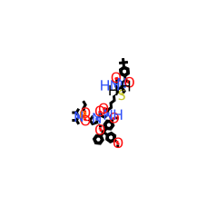 CCCOP(O[C@@H]1C[C@@H](COC(c2ccccc2)(c2ccc(OC)cc2)c2ccc(OC)cc2)N(C(=O)CNC(=O)CCCC[C@@H]2SC[C@H]3[C@@H]2NC(=O)N3C(=O)c2ccc(C(C)(C)C)cc2)C1)N(C(C)C)C(C)C